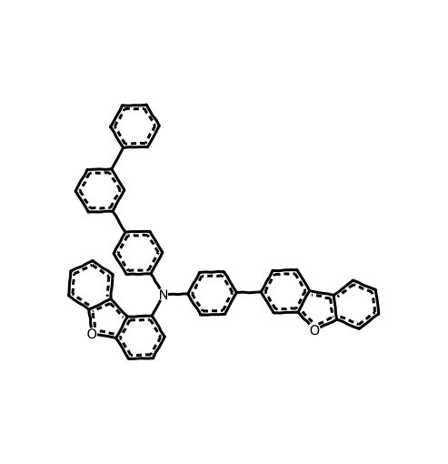 c1ccc(-c2cccc(-c3ccc(N(c4ccc(-c5ccc6c(c5)oc5ccccc56)cc4)c4cccc5oc6ccccc6c45)cc3)c2)cc1